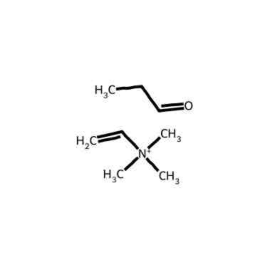 C=C[N+](C)(C)C.CCC=O